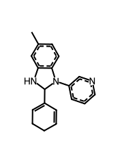 Cc1ccc2c(c1)NC(C1=CCCC=C1)N2c1cccnc1